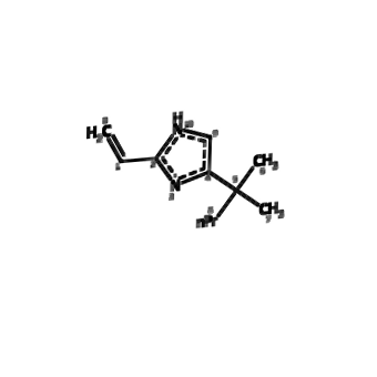 C=Cc1nc(C(C)(C)CCC)c[nH]1